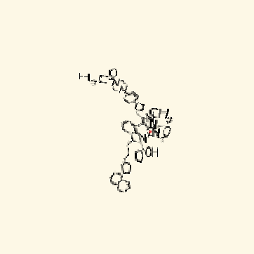 CC(=O)N1CCN(c2ccc(OCc3c(-c4cccc5c(CCCOc6cccc7ccccc67)c(C(=O)O)n(CCN6CCOCC6)c45)c(C)nn3C)cc2)CC1